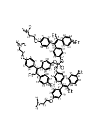 CC/C(=C(\c1ccc(OCCN(C)C)cc1)c1ccc(OP(=O)(Oc2ccc(/C(=C(/CC)c3ccc(CC)cc3)c3ccc(OCCN(C)C)cc3)cc2)Oc2ccc(/C(=C(/CC)c3ccc(CC)cc3)c3ccc(OCCN(C)C)cc3)cc2)cc1)c1ccc(CC)cc1